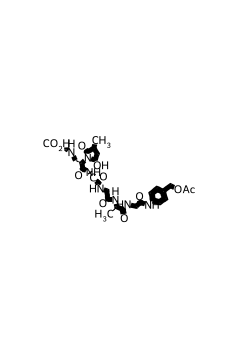 CC(=O)OCc1ccc(NC(=O)CNC(=O)[C@H](C)NC(=O)CNC(=O)CNC(=O)[C@H](CNCC(=O)O)N2C(=O)C(C)CC2O)cc1